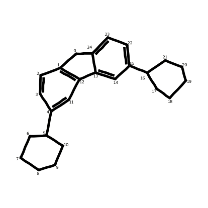 [CH]1c2ccc(C3CCCCC3)cc2-c2cc(C3CCCCC3)ccc21